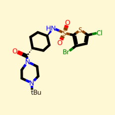 CC(C)(C)N1CCN(C(=O)[C@H]2CC[C@H](NS(=O)(=O)c3sc(Cl)cc3Br)CC2)CC1